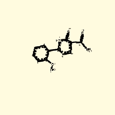 CCCCOc1ccccc1-c1ncc(C(N)=O)c(=O)[nH]1